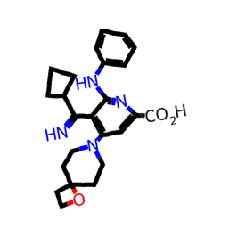 N=C(c1c(N2CCC3(CCO3)CC2)cc(C(=O)O)nc1Nc1ccccc1)C1CCC1